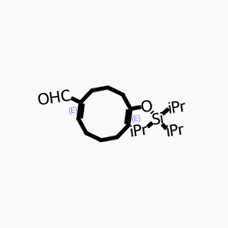 CC(C)[Si](O/C1=C/CCC/C=C(/C=O)CCC1)(C(C)C)C(C)C